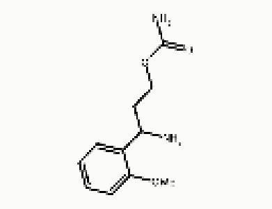 COc1ccccc1C(N)CCOC(N)=O